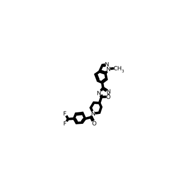 Cn1ncc2ccc(-c3noc(C4CCN(C(=O)c5ccc(C(F)F)cc5)CC4)n3)cc21